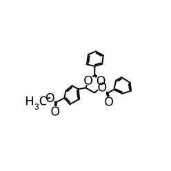 COC(=O)c1ccc(C(COC(=O)c2ccccc2)OC(=O)c2ccccc2)cc1